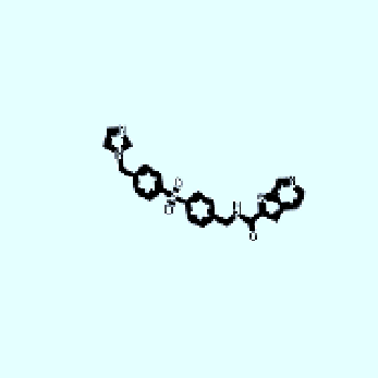 O=C(NCc1ccc(S(=O)(=O)c2ccc(Cn3ccnc3)cc2)cc1)c1cc2ccncc2s1